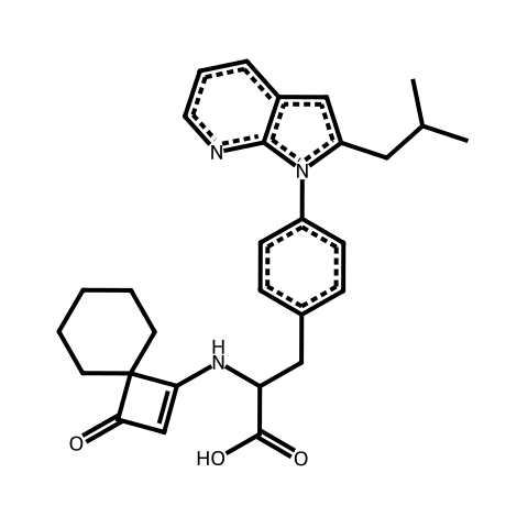 CC(C)Cc1cc2cccnc2n1-c1ccc(CC(NC2=CC(=O)C23CCCCC3)C(=O)O)cc1